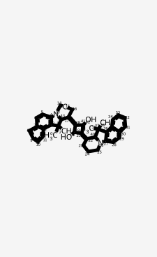 CC1(C)c2c(ccc3ccccc23)N2CCCC(=C3C(O)C(=C4CCCN5c6ccc7ccccc7c6C(C)(C)C45)C3O)C21